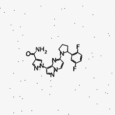 NC(=O)c1cnn(-c2cnn3ccc(N4CCCC4c4cc(F)ccc4F)nc23)c1